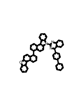 c1ccc(-c2ccc(-c3nc(-n4c5ccccc5c5c6cccc(-c7cccc8c7ccc7oc9ccccc9c78)c6ccc54)nc4ccccc34)cc2)cc1